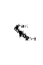 CCCCCCCCOc1ccc(-c2ncc(OC[C@@H]3O[C@H]3CCCCC)cc2F)cc1